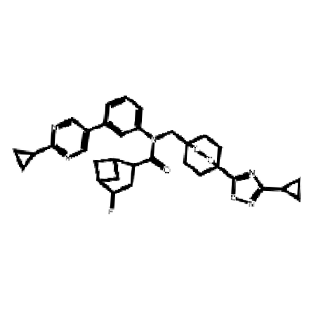 O=C(C1CC(F)C2CC1C2)N(CC12CCC(c3nc(C4CC4)no3)(CC1)CC2)c1cccc(-c2cnc(C3CC3)nc2)c1